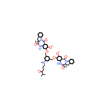 COc1cc2c(cc1OCc1cc(COc3cc4c(cc3OC)C(=O)N3c5ccccc5C[C@H]3C(=O)N4)cc(N(C)CCCC(=O)C(C)C)c1)NC(=O)[C@@H]1Cc3ccccc3N1C2=O